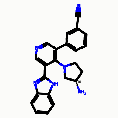 N#Cc1cccc(-c2cncc(-c3nc4ccccc4[nH]3)c2N2CC[C@H](N)C2)c1